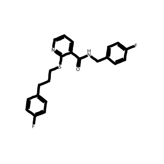 O=C(NCc1ccc(F)cc1)c1cccnc1SCCCc1ccc(F)cc1